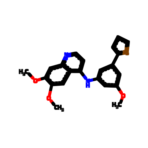 COc1cc(Nc2ccnc3cc(OC)c(OC)cc23)cc(-c2cccs2)c1